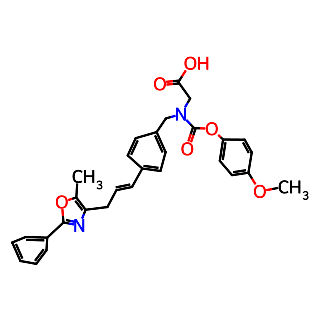 COc1ccc(OC(=O)N(CC(=O)O)Cc2ccc(/C=C/Cc3nc(-c4ccccc4)oc3C)cc2)cc1